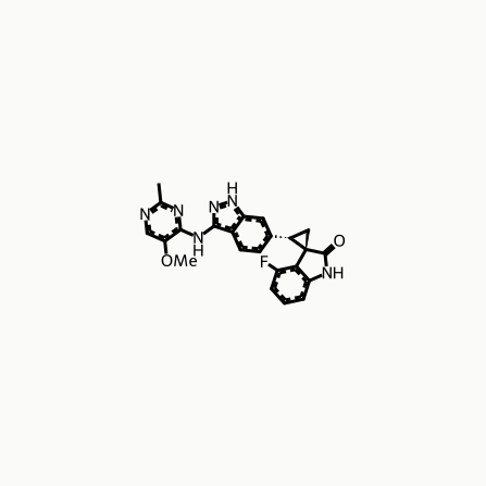 COc1cnc(C)nc1Nc1n[nH]c2cc([C@@H]3C[C@]34C(=O)Nc3cccc(F)c34)ccc12